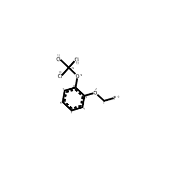 FCOc1ccccc1OC(Cl)(Cl)Cl